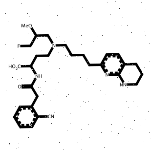 COC(CF)CN(CCCCc1ccc2c(n1)NCCC2)CCC(NC(=O)Cc1ccccc1C#N)C(=O)O